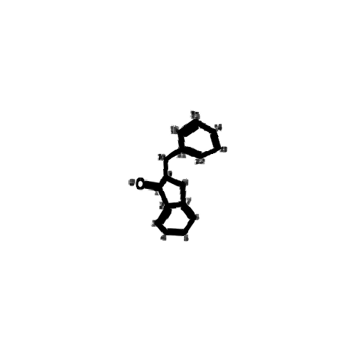 O=C1c2ccccc2CC1Cc1ccccc1